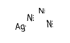 [Ag].[N].[N].[N]